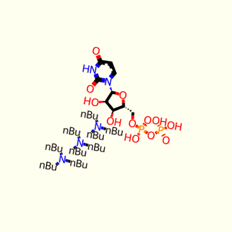 CCCCN(CCCC)CCCC.CCCCN(CCCC)CCCC.CCCCN(CCCC)CCCC.O=c1ccn([C@@H]2O[C@H](COP(=O)(O)OP(=O)(O)O)[C@@H](O)[C@H]2O)c(=O)[nH]1